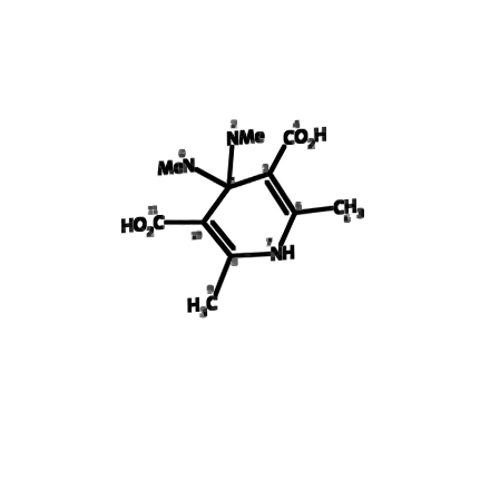 CNC1(NC)C(C(=O)O)=C(C)NC(C)=C1C(=O)O